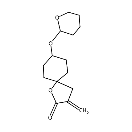 C=C1CC2(CCC(OC3CCCCO3)CC2)OC1=O